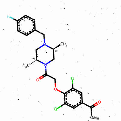 COC(=O)c1cc(Cl)c(OCC(=O)N2C[C@H](C)N(Cc3ccc(F)cc3)C[C@H]2C)c(Cl)c1